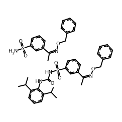 CC(=NOCc1ccccc1)c1cccc(S(=O)(=O)NC(=O)Nc2c(C(C)C)cccc2C(C)C)c1.CC(=NOCc1ccccc1)c1cccc(S(N)(=O)=O)c1